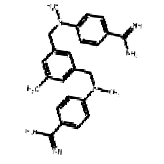 Cc1cc(CN(C)c2ccc(C(=N)N)cc2)cc(CN(C)c2ccc(C(=N)N)cc2)c1